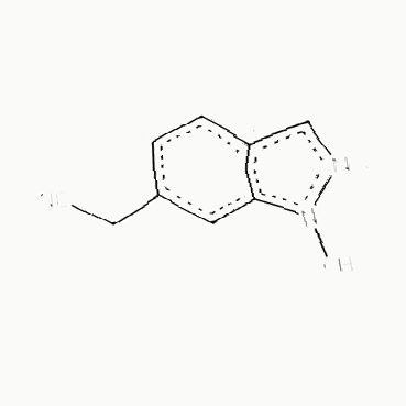 Cn1ncc2ccc(CC#N)cc21